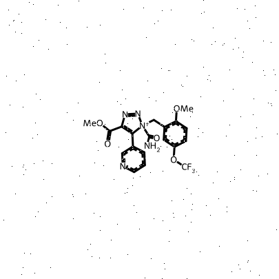 COC(=O)C1=C(c2cccnc2)[N+](Cc2cc(OC(F)(F)F)ccc2OC)(C(N)=O)N=N1